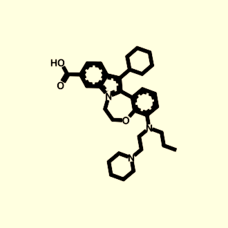 CCCN(CCN1CCCCC1)c1cccc2c1OCCn1c-2c(C2CCCCC2)c2ccc(C(=O)O)cc21